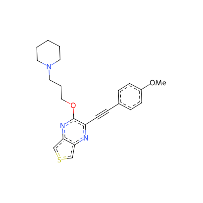 COc1ccc(C#Cc2nc3cscc3nc2OCCCN2CCCCC2)cc1